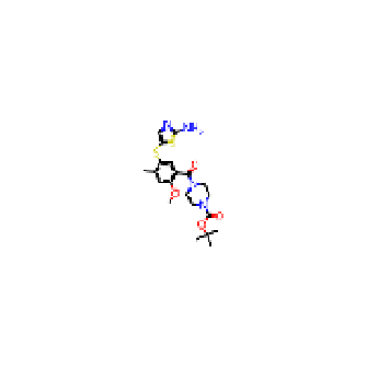 COc1cc(C)c(Sc2cnc(N)s2)cc1C(=O)N1CCN(C(=O)OC(C)(C)C)CC1